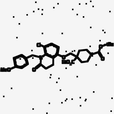 CCOC(=O)C1(COc2ccc(Cl)c3c2CCC(=O)N3Cc2ccc(OC)cc2)CCN(C(=O)OC(C)(C)C)CC1